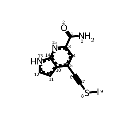 NC(=O)c1cc(C#CSI)c2cc[nH]c2n1